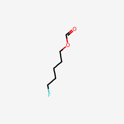 O=COCCCCCF